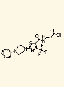 O=C(O)CCNC(=O)c1sc(N2CCN(c3ccncc3)CC2)nc1C(F)(F)F